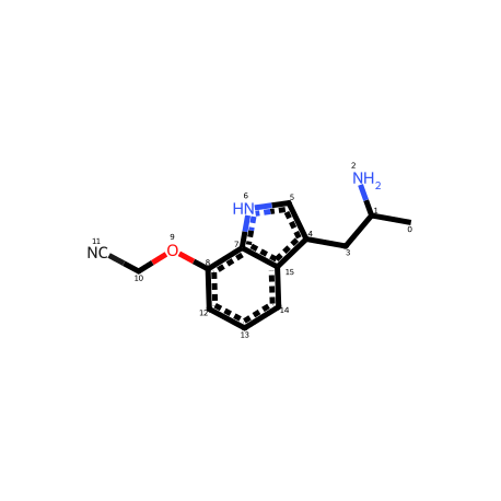 CC(N)Cc1c[nH]c2c(OCC#N)cccc12